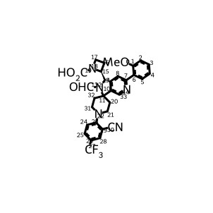 COc1ccccc1-c1ccc(C2(N(C=O)C[C@@H]3CCN3C(=O)O)CCN(c3ccc(C(F)(F)F)cc3C#N)CC2)cn1